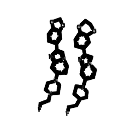 FCCC1CCN(c2ccn3cc(-c4ccc5c(c4)OCCO5)nc3c2)CC1.FCCN1CCN(c2ccn3cc(-c4ccc5c(c4)OCO5)nc3c2)CC1